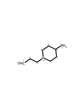 NC1CCN(CC[C]=O)CC1